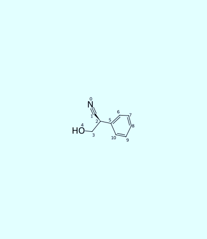 N#C[C@H](CO)c1ccccc1